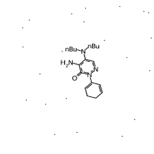 CCCCN(CCCC)c1cnn(C2=CCCC=C2)c(=O)c1N